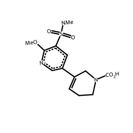 CNS(=O)(=O)c1cc(C2=CCCN(C(=O)O)C2)cnc1OC